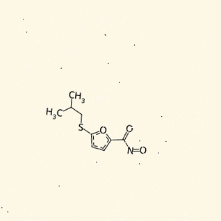 CC(C)CSc1ccc(C(=O)N=O)o1